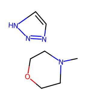 CN1CCOCC1.c1c[nH]nn1